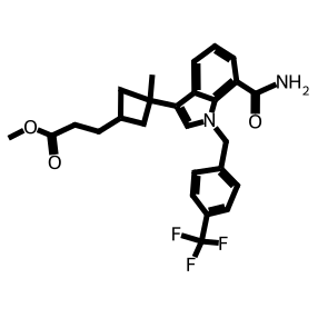 COC(=O)CCC1CC(C)(c2cn(Cc3ccc(C(F)(F)F)cc3)c3c(C(N)=O)cccc23)C1